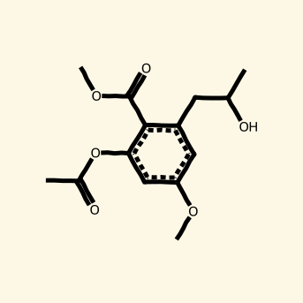 COC(=O)c1c(CC(C)O)cc(OC)cc1OC(C)=O